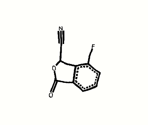 N#CC1OC(=O)c2cccc(F)c21